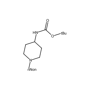 CCCCCCCCCN1CCC(NC(=O)OC(C)(C)C)CC1